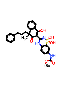 CC(C)(C)OC(=O)Nc1ccc2c(c1)S(O)(O)N=C(C1=C(O)c3ccccc3C(C)(CCCc3ccccc3)C1=O)N2